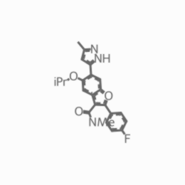 CNC(=O)c1c(-c2ccc(F)cc2)oc2cc(-c3cc(C)n[nH]3)c(OC(C)C)cc12